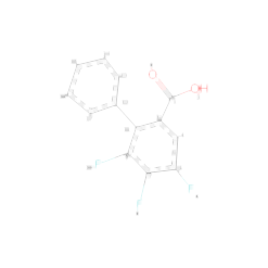 O=C(O)c1cc(F)c(F)c(F)c1-c1ccccc1